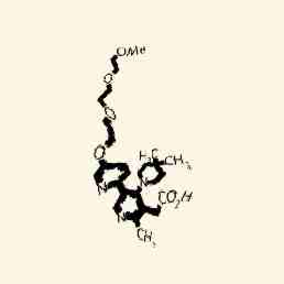 COCCOCCOCCOc1ccc(-c2cnc(C)c(CC(=O)O)c2N2CCC(C)(C)CC2)nc1